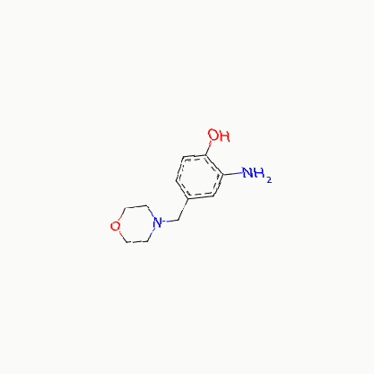 Nc1cc(CN2CCOCC2)ccc1O